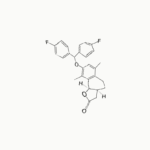 Cc1cc(OC(c2ccc(F)cc2)c2ccc(F)cc2)c(C)c2c1CC[C@H]1CC(=O)O[C@@H]21